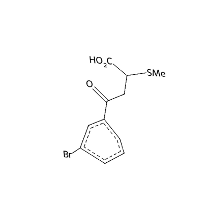 CSC(CC(=O)c1cccc(Br)c1)C(=O)O